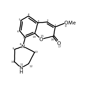 COc1cc2cccc(N3CCNCC3)c2oc1=O